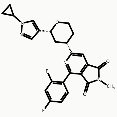 CN1C(=O)c2cc([C@H]3CCO[C@@H](c4cnn(C5CC5)c4)C3)nc(-c3ccc(F)cc3F)c2C1=O